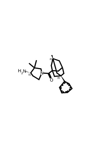 CC1(C)CN(C(=O)C23CC4C[C@@](C)(C2)C[C@](c2ccccc2)(C4)C3)CC[C@@H]1N